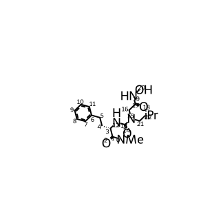 CNC(=O)[C@H](CCc1ccccc1)NC(=O)N(CC(=O)NO)CC(C)C